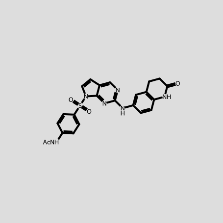 CC(=O)Nc1ccc(S(=O)(=O)n2ccc3cnc(Nc4ccc5c(c4)CCC(=O)N5)nc32)cc1